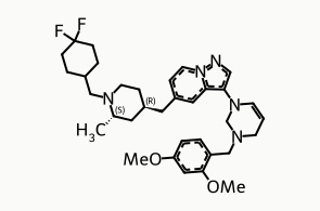 COc1ccc(CN2CC=CN(c3cnn4ccc(C[C@@H]5CCN(CC6CCC(F)(F)CC6)[C@@H](C)C5)cc34)C2)c(OC)c1